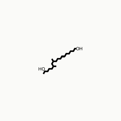 CC(O)CCCC(C)CC(C)CCCC=CCCCCCO